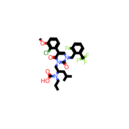 CCCN(C(=O)O)C(CC(C)C)Cn1c(=O)c(-c2cccc(OC)c2Cl)cn(Cc2c(F)cccc2C(F)(F)F)c1=O